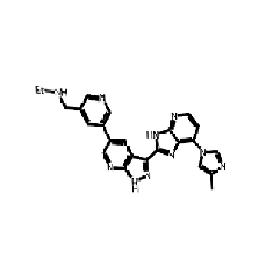 CCNCc1cncc(-c2cnc3[nH]nc(-c4nc5c(-n6cnc(C)c6)ccnc5[nH]4)c3c2)c1